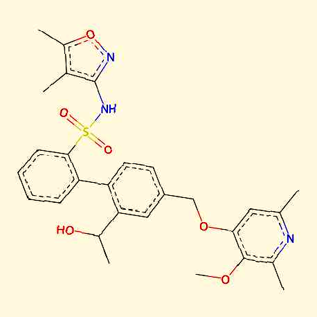 COc1c(OCc2ccc(-c3ccccc3S(=O)(=O)Nc3noc(C)c3C)c(C(C)O)c2)cc(C)nc1C